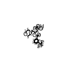 O=C(OC(CN1CCOCC1)CS(=O)(=O)O)c1cccc(C(F)(F)F)c1